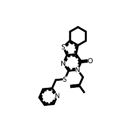 C=C(C)Cn1c(SCc2ccccn2)nc2sc3c(c2c1=O)CCCC3